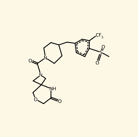 CS(=O)(=O)c1ccc(CC2CCN(C(=O)N3CC4(COCC(=O)N4)C3)CC2)cc1C(F)(F)F